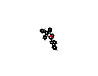 c1ccc(-n2c3ccccc3c3c4sc5ccccc5c4c4c5ccccc5n(-c5cccc(-c6ccc7c8c(cccc68)-c6ccccc6-7)c5)c4c32)cc1